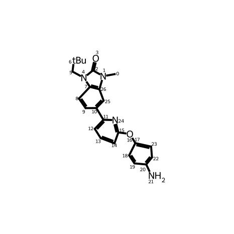 Cn1c(=O)n(CC(C)(C)C)c2ccc(-c3cccc(Oc4ccc(N)cc4)n3)cc21